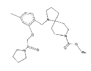 Cc1ccc(CN2CCCC23CCN(C(=O)OC(C)(C)C)CC3)c(OCC(=O)N2CCCC2)c1